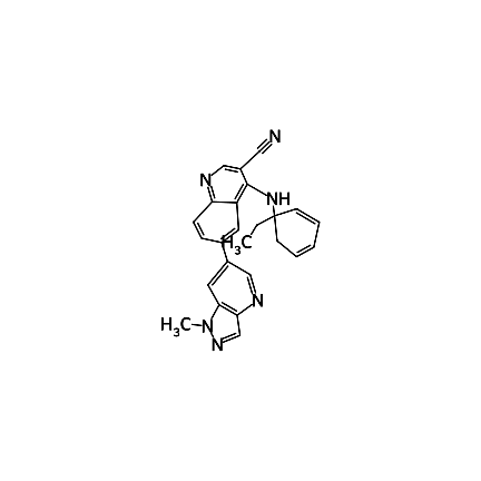 CCC1(Nc2c(C#N)cnc3ccc(-c4cnc5cnn(C)c5c4)cc23)C=CC=CC1